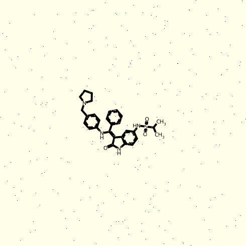 CC(C)S(=O)(=O)Nc1ccc2c(c1)/C(=C(/Nc1ccc(CN3CCCC3)cc1)c1ccccc1)C(=O)N2